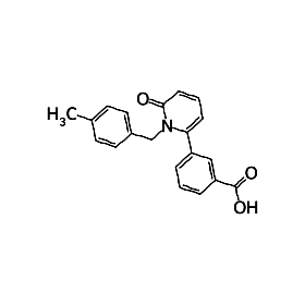 Cc1ccc(Cn2c(-c3cccc(C(=O)O)c3)cccc2=O)cc1